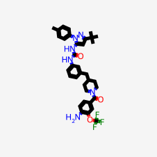 Cc1ccc(-n2nc(C(C)(C)C)cc2NC(=O)Nc2cccc(CC3CCN(C(=O)c4ccc(N)c(OC(F)(F)F)c4)CC3)c2)cc1